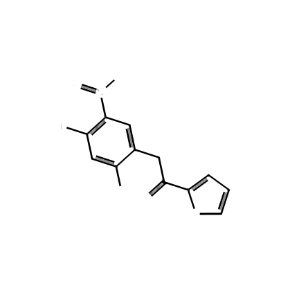 O=C(Cc1cc([N+](=O)[O-])c(F)cc1F)c1cccs1